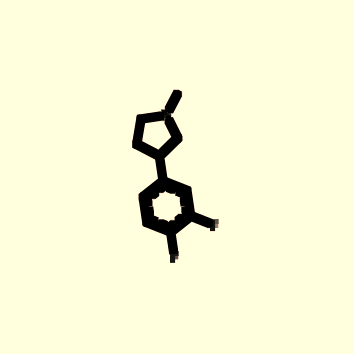 CN1CCC(c2ccc(F)c(F)c2)C1